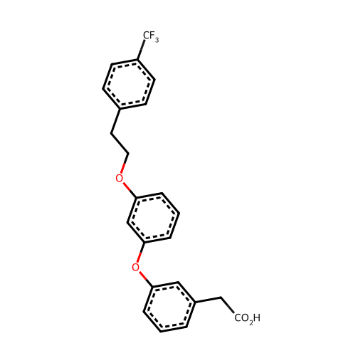 O=C(O)Cc1cccc(Oc2cccc(OCCc3ccc(C(F)(F)F)cc3)c2)c1